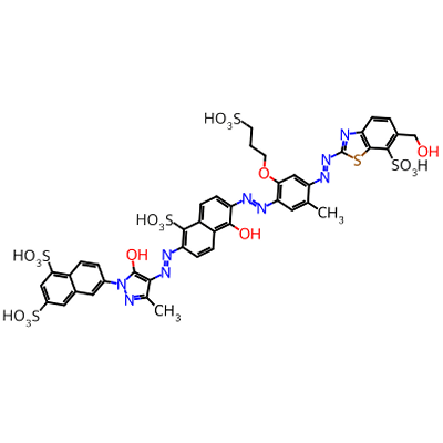 Cc1cc(N=Nc2ccc3c(S(=O)(=O)O)c(N=Nc4c(C)nn(-c5ccc6c(S(=O)(=O)O)cc(S(=O)(=O)O)cc6c5)c4O)ccc3c2O)c(OCCCS(=O)(=O)O)cc1N=Nc1nc2ccc(CO)c(S(=O)(=O)O)c2s1